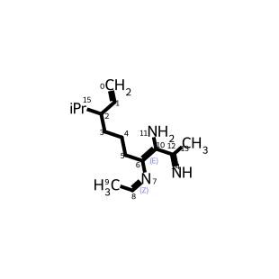 C=CC(CCCC(/N=C\C)=C(\N)C(C)=N)C(C)C